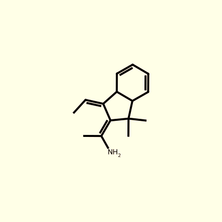 C/C=C1\C(=C(/C)N)C(C)(C)C2C=CC=CC12